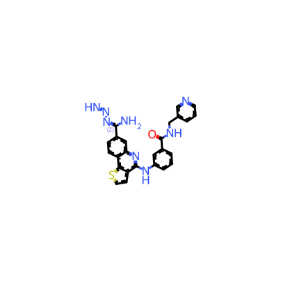 N=N/N=C(\N)c1ccc2c(c1)nc(Nc1cccc(C(=O)NCc3cccnc3)c1)c1ccsc12